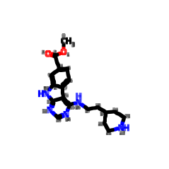 COC(=O)c1ccc2c(c1)[nH]c1ncnc(NCCC3CCNCC3)c12